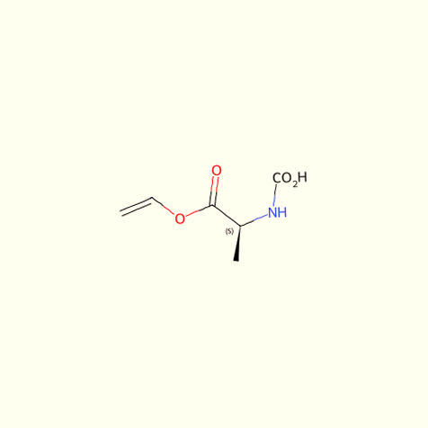 C=COC(=O)[C@H](C)NC(=O)O